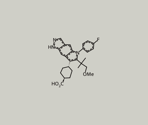 COCC(C)(C)c1c([C@H]2CC[C@H](C(=O)O)CC2)c2cc3[nH]ncc3cc2n1-c1ccc(F)cc1